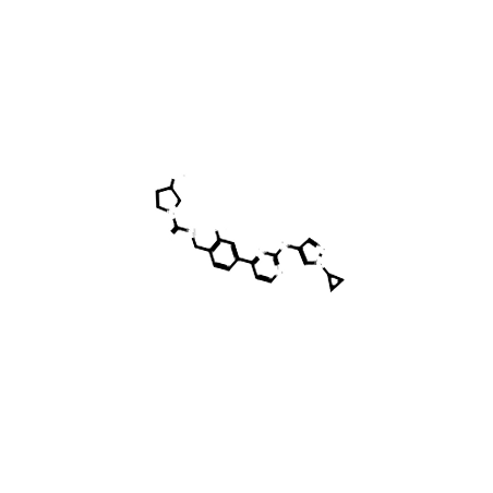 CC(C)(C)C1CCN(C(=O)NCc2ccc(-c3ccnc(Nc4cnn(C5CC5)c4)n3)cc2C(F)(F)F)C1